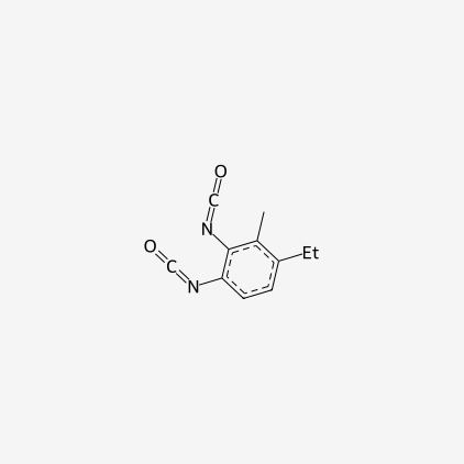 CCc1ccc(N=C=O)c(N=C=O)c1C